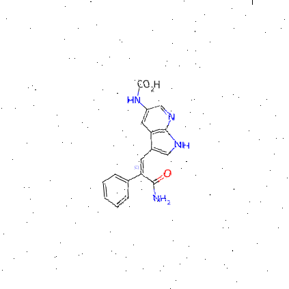 NC(=O)/C(=C\c1c[nH]c2ncc(NC(=O)O)cc12)c1ccccc1